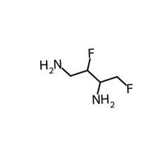 NCC(F)C(N)CF